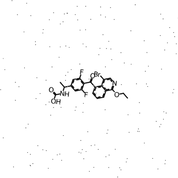 CCOc1ncc(Br)c2c(C(=O)c3c(F)cc(C(C)NC(=O)O)cc3F)cccc12